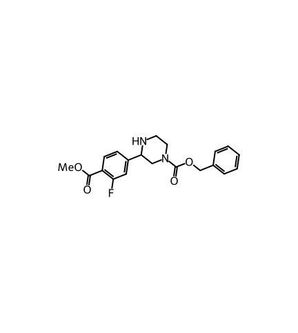 COC(=O)c1ccc(C2CN(C(=O)OCc3ccccc3)CCN2)cc1F